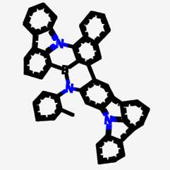 Cc1ccccc1N1B2c3c(cc4ccccc4c3-n3c4ccccc4c4cccc2c43)-c2cc3c4cccc5c6ccccc6n(c3cc21)c54